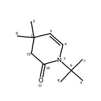 CC1(C)C=CN(C(C)(C)C)C(=O)C1